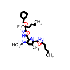 C=CCCc1nnc(-c2nc(-c3nnc(C(CCC=C)(OCc4ccccc4)C(F)(F)F)o3)c(NC(=O)O)cc2C(F)(F)F)o1